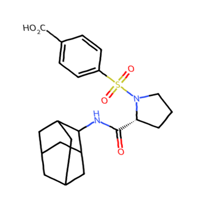 O=C(O)c1ccc(S(=O)(=O)N2CCC[C@@H]2C(=O)NC2C3CC4CC(C3)CC2C4)cc1